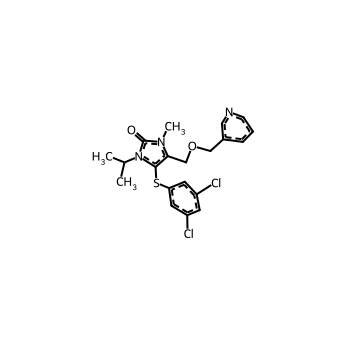 CC(C)n1c(Sc2cc(Cl)cc(Cl)c2)c(COCc2cccnc2)n(C)c1=O